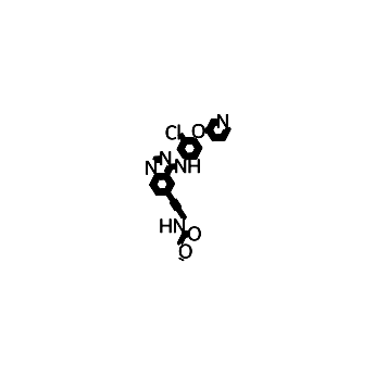 COCC(=O)NCC#Cc1ccc2ncnc(Nc3ccc(Oc4cccnc4)c(Cl)c3)c2c1